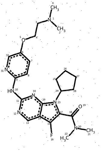 CN(C)CCOc1ccc(Nc2ncc3c(F)c(C(=O)N(C)C)n(C4CCCC4)c3n2)nc1